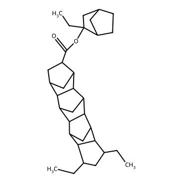 CCC1CC(CC)C2C3CC(C12)C1C2CC(C4C5CC(CC5C(=O)OC5(CC)CC6CCC5C6)C24)C31